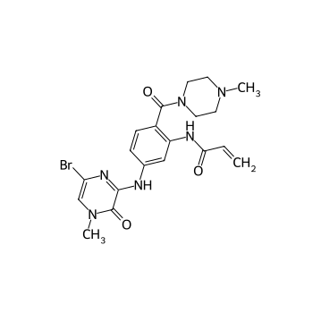 C=CC(=O)Nc1cc(Nc2nc(Br)cn(C)c2=O)ccc1C(=O)N1CCN(C)CC1